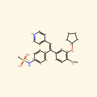 COc1ccc(C(=Cc2ccncc2)c2ccc(NS(C)(=O)=O)cc2)cc1OC1CCCC1